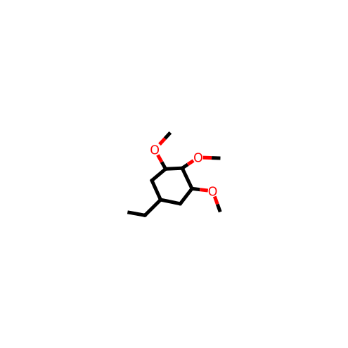 CCC1CC(OC)C(OC)C(OC)C1